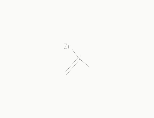 C=[C](C)[Zn]